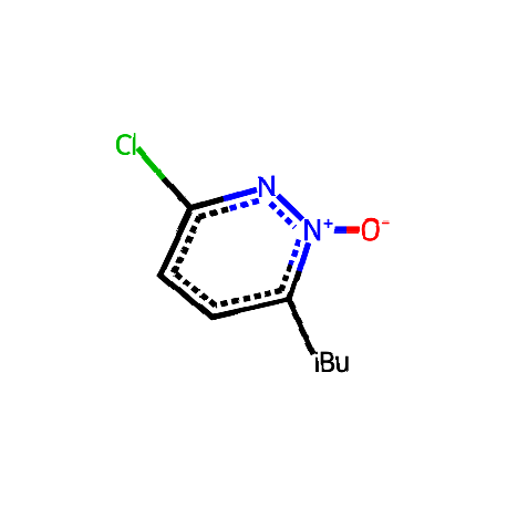 CCC(C)c1ccc(Cl)n[n+]1[O-]